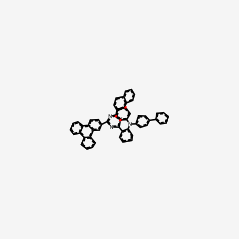 c1ccc(-c2ccc(N(c3ccccc3)c3ccccc3-c3nc(-c4ccc5ccccc5c4)nc(-c4ccc5c6ccccc6c6ccccc6c5c4)n3)cc2)cc1